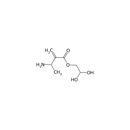 C=C(C(=O)OCC(O)O)C(C)N